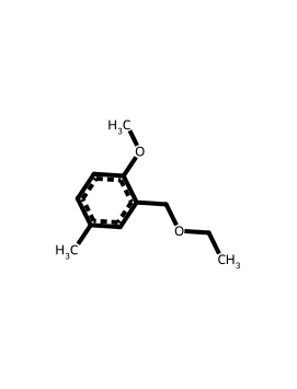 CCOCc1cc(C)ccc1OC